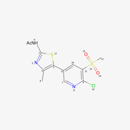 CC(=O)Nc1nc(C)c(-c2cnc(Cl)c(S(C)(=O)=O)c2)s1